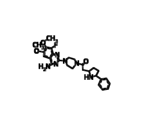 COc1cc2c(N)nc(N3CCN(C(=O)CC4CCC(c5ccccc5)N4)CC3)nc2c(F)c1OC